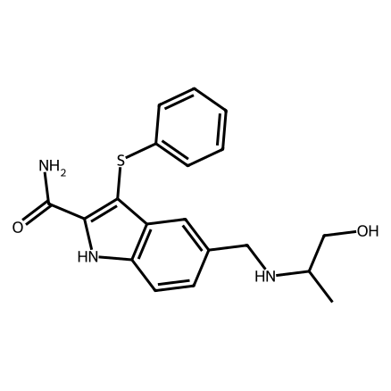 CC(CO)NCc1ccc2[nH]c(C(N)=O)c(Sc3ccccc3)c2c1